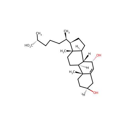 [2H][C@]1(O)CC[C@@]2(C)C(=C[C@@H](O)[C@H]3[C@@H]4CC[C@H]([C@H](C)CCC[C@@H](C)C(=O)O)[C@@]4(C)CC[C@@H]32)C1